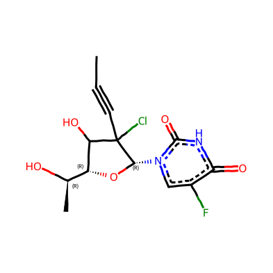 CC#CC1(Cl)C(O)[C@@H]([C@@H](C)O)O[C@H]1n1cc(F)c(=O)[nH]c1=O